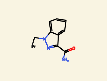 CC(C)Cn1nc(C(N)=O)c2ccccc21